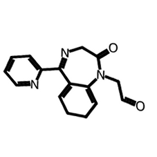 O=CCN1C(=O)CN=C(c2ccccn2)C2=CCCC=C21